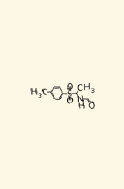 Cc1ccc(S(=O)(=O)C(C)NC=O)cc1